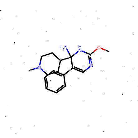 COC1=NC=C(c2ccccc2)C(N)(C2CCN(C)CC2)N1